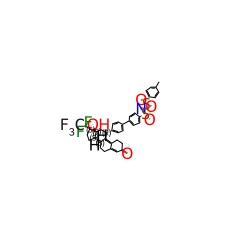 Cc1ccc(S(=O)(=O)N=S(C)(=O)c2ccc(-c3ccc([C@H]4C[C@@]5(C)[C@@H](CC[C@@]5(O)C(F)(F)C(F)(F)F)[C@@H]5CCC6=CC(=O)CCC6=C54)cc3)cc2)cc1